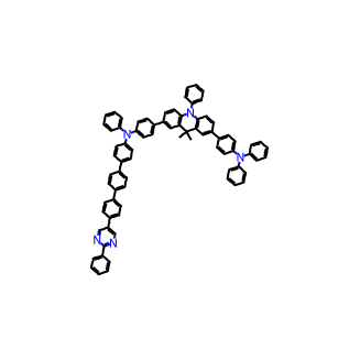 CC1(C)c2cc(-c3ccc(N(c4ccccc4)c4ccccc4)cc3)ccc2N(c2ccccc2)c2ccc(-c3ccc(N(c4ccccc4)c4ccc(-c5ccc(-c6ccc(-c7cnc(-c8ccccc8)nc7)cc6)cc5)cc4)cc3)cc21